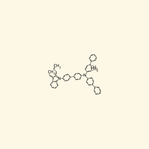 C=C/C=c1\c(=C/C)c2ccccc2n1-c1ccc(-c2ccc(N(C(/C=C\C(=C)c3ccccc3)=C/C)c3ccc(-c4ccccc4)cc3)cc2)cc1